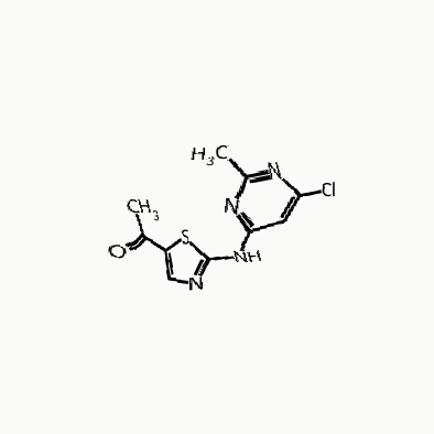 CC(=O)c1cnc(Nc2cc(Cl)nc(C)n2)s1